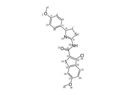 COc1ccc(C2CSC(NC(=O)c3sc4cc(OC)ccc4c3Cl)=N2)cc1